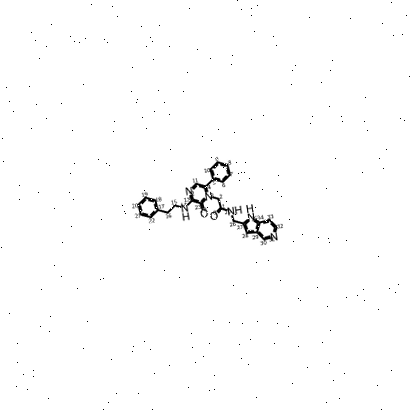 O=C(Cn1c(-c2ccccc2)cnc(NCCc2ccccc2)c1=O)NCc1cc2cnccc2[nH]1